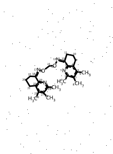 Cc1nc2c(c(C)c1C)CCC/C2=N/OCO/N=C1/CCCc2c1nc(C)c(C)c2C